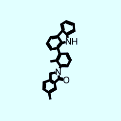 Cc1ccc2c(c1)C(=O)N(c1cccc(-c3cccc4c3[nH]c3ccccc34)c1C)C2